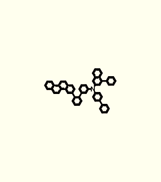 c1ccc(-c2ccc(N(c3cccc(-c4ccccc4-c4ccc5ccc6c7ccccc7ccc6c5c4)c3)c3cc(-c4ccccc4)c4ccccc4c3)cc2)cc1